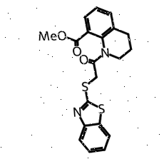 COC(=O)c1cccc2c1N(C(=O)CSc1nc3ccccc3s1)CCC2